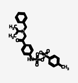 Cc1ccc(S(=O)(=O)OS(=O)(=O)Nc2ccc(C(=O)CN(Cc3ccccc3)C(C)C)cc2)cc1